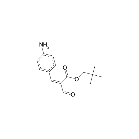 CC(C)(C)COC(=O)/C(C=O)=C\c1ccc(N)cc1